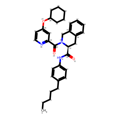 CCCCCc1ccc(NC(=O)[C@@H]2Cc3ccccc3CN2C(=O)c2cc(OC3CCCCC3)ccn2)cc1